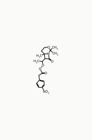 CC(OOC(=O)Cc1ccc([N+](=O)[O-])cc1)C1C(=O)N2C(C)(C)OCCC12C